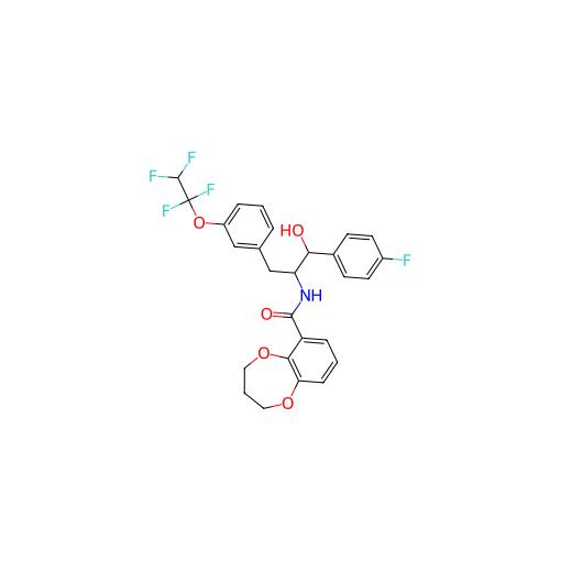 O=C(NC(Cc1cccc(OC(F)(F)C(F)F)c1)C(O)c1ccc(F)cc1)c1cccc2c1OCCCO2